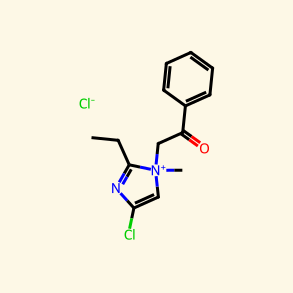 CCC1=NC(Cl)=C[N+]1(C)CC(=O)c1ccccc1.[Cl-]